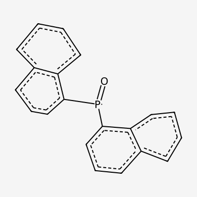 O=[P](c1cccc2ccccc12)c1cccc2ccccc12